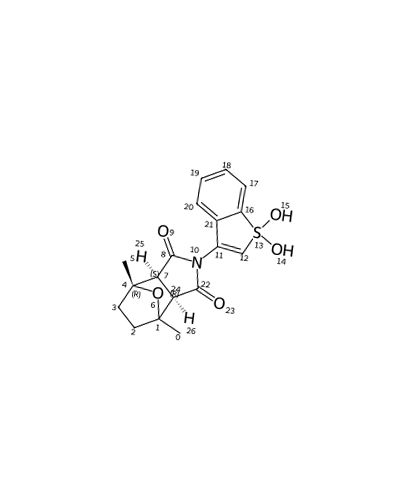 CC12CC[C@@](C)(O1)[C@H]1C(=O)N(C3=CS(O)(O)c4ccccc43)C(=O)[C@H]12